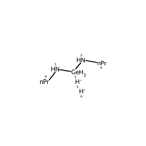 CCC[NH][GeH2][NH]CCC.[H-].[H-]